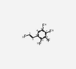 FC=Cc1cc(F)c(F)c(F)c1F